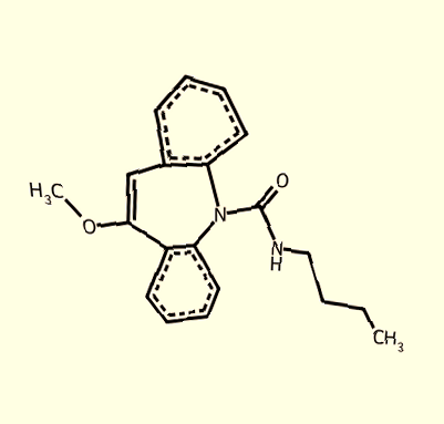 CCCCNC(=O)N1c2ccccc2C=C(OC)c2ccccc21